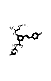 COC[C@H](C)Oc1cc(C=Cc2ccc(F)cc2)cc(C(=O)Nc2ncc(F)s2)c1